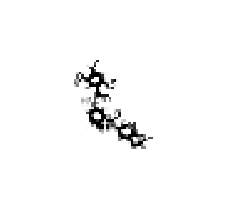 COc1cc(OC)c(C(=O)Nc2ccc(C)c(C(=O)Nc3cnc4[nH]ccc4c3)c2)cc1OC